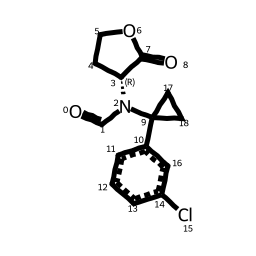 O=CN([C@@H]1CCOC1=O)C1(c2cccc(Cl)c2)CC1